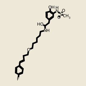 CS(=O)(=O)Nc1cc(CC(O)NCCCCCCOCC/C=C/c2ccc(F)cc2)ccc1O